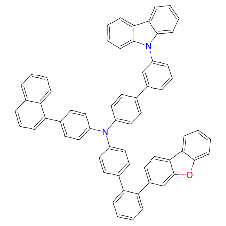 c1cc(-c2ccc(N(c3ccc(-c4ccccc4-c4ccc5c(c4)oc4ccccc45)cc3)c3ccc(-c4cccc5ccccc45)cc3)cc2)cc(-n2c3ccccc3c3ccccc32)c1